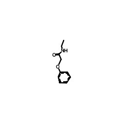 CCNC(=O)COc1ccccc1